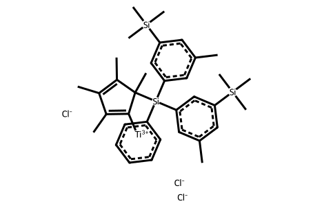 CC1=C(C)C(C)([Si](c2ccccc2)(c2cc(C)cc([Si](C)(C)C)c2)c2cc(C)cc([Si](C)(C)C)c2)[C]([Ti+3])=C1C.[Cl-].[Cl-].[Cl-]